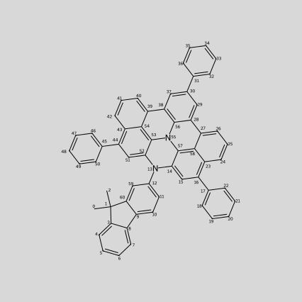 CC1(C)c2ccccc2-c2ccc(-n3c4cc(-c5ccccc5)c5cccc6c7cc(-c8ccccc8)cc8c9cccc%10c(-c%11ccccc%11)cc3c(c%109)n(c78)c4c56)cc21